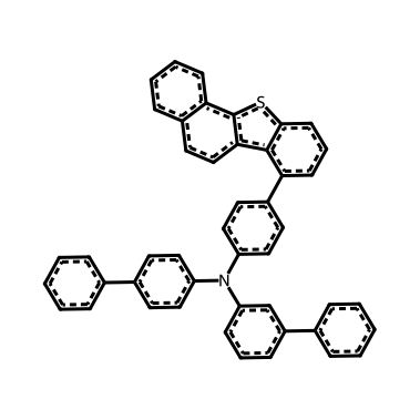 c1ccc(-c2ccc(N(c3ccc(-c4cccc5sc6c7ccccc7ccc6c45)cc3)c3cccc(-c4ccccc4)c3)cc2)cc1